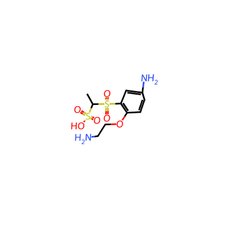 CC(S(=O)(=O)O)S(=O)(=O)c1cc(N)ccc1OCCN